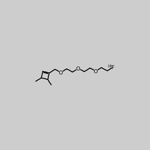 CC1C=C(COCCOCCOCC[18F])C1C